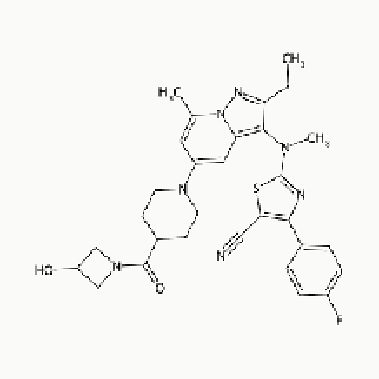 CCc1nn2c(C)cc(N3CCC(C(=O)N4CC(O)C4)CC3)cc2c1N(C)c1nc(-c2ccc(F)cc2)c(C#N)s1